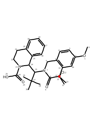 COc1ccc(CN(C(=O)C(C)Cl)C(C2c3ccccc3CCN2C(=O)O)C(C)(C)C)c(OC)c1